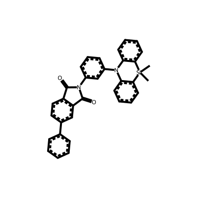 C[Si]1(C)c2ccccc2N(c2cccc(N3C(=O)c4ccc(-c5ccccc5)cc4C3=O)c2)c2ccccc21